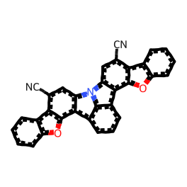 N#Cc1cc2c(c3cccc4c5c6oc7ccccc7c6c(C#N)cc5n2c34)c2oc3ccccc3c12